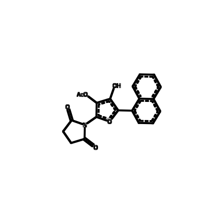 CC(=O)Oc1c(N2C(=O)CCC2=O)oc(-c2cccc3ccccc23)c1O